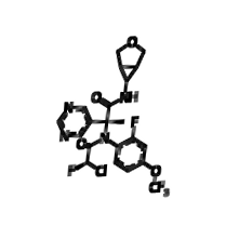 C[C@](C(=O)NC1C2COCC21)(c1cncnc1)N(C(=O)[C@H](F)Cl)c1ccc(OC(F)(F)F)cc1F